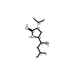 CC(C)CC(Br)C1C[C@@H](C(C)C)C(=O)O1